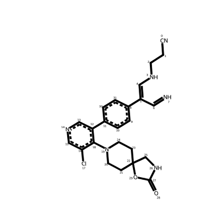 N#CCCN/C=C(\C=N)c1ccc(-c2cncc(Cl)c2N2CCC3(CC2)CNC(=O)O3)cc1